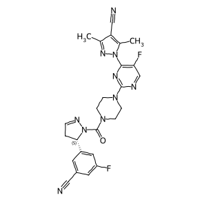 Cc1nn(-c2nc(N3CCN(C(=O)N4N=CC[C@H]4c4cc(F)cc(C#N)c4)CC3)ncc2F)c(C)c1C#N